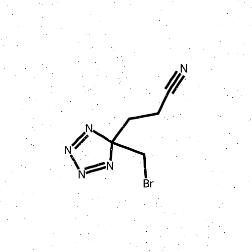 N#CCCC1(CBr)N=NN=N1